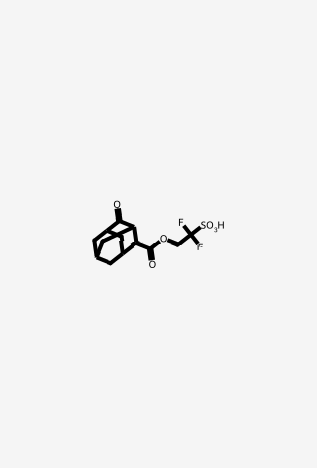 O=C1C2CC3CC(C2)C(C(=O)OCC(F)(F)S(=O)(=O)O)C1C3